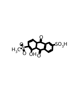 CS(=O)(=O)C1=C(O)C2C(=O)c3ccc(S(=O)(=O)O)cc3C(=O)C2C=C1